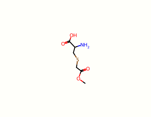 COC(=O)CSCC(N)C(=O)O